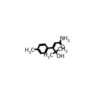 Cc1ccc(/C(=C/C(N)=O)C(C)(C)O)cc1